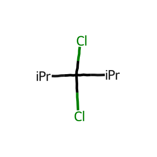 CC(C)C(Cl)(Cl)C(C)C